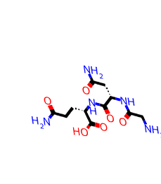 NCC(=O)N[C@@H](CC(N)=O)C(=O)N[C@@H](CCC(N)=O)C(=O)O